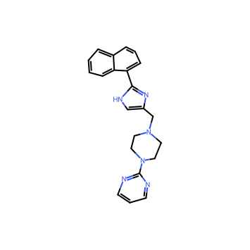 c1cnc(N2CCN(Cc3c[nH]c(-c4cccc5ccccc45)n3)CC2)nc1